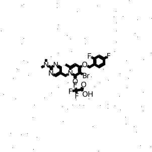 Cc1cc(OCc2ccc(F)cc2F)c(Br)c(=O)n1Cc1cnc(N(C)C)nc1.O=C(O)C(F)(F)F